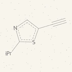 C#Cc1cnc(C(C)C)s1